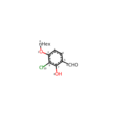 CCCCCCOc1ccc(C=O)c(O)c1Cl